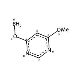 BOc1cc(OC)ncn1